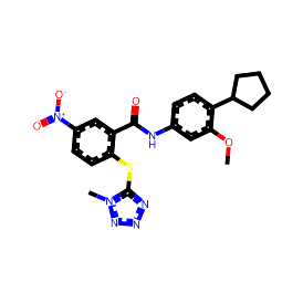 COc1cc(NC(=O)c2cc([N+](=O)[O-])ccc2Sc2nnnn2C)ccc1C1CCCC1